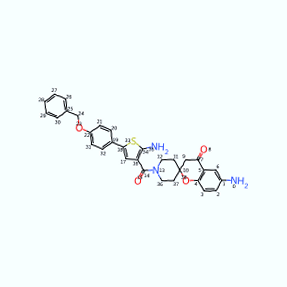 Nc1ccc2c(c1)C(=O)CC1(CCN(C(=O)c3cc(-c4ccc(OCc5ccccc5)cc4)sc3N)CC1)O2